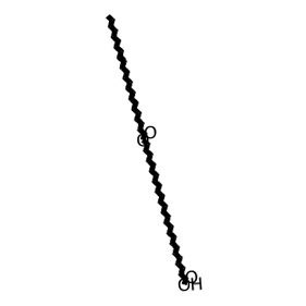 CCCCCCCCC=CCCCCCCCCCCCCCC(=O)OCCCCCCCCCCCCCCCCCCCCCCCCCCC(=O)O